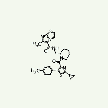 Cc1ccc(-c2sc(C3CC3)nc2C(=O)N2CCCC[C@H]2CNC(=O)c2c(C)nc3sccn23)cc1